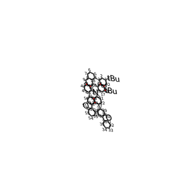 CC(C)(C)c1cc(-c2cccc3cccc(-c4ccccc4N(c4ccc(-c5ccc6c(c5)oc5ccccc56)cc4)c4ccccc4-c4ccc5c(c4)oc4ccccc45)c23)cc(C(C)(C)C)c1